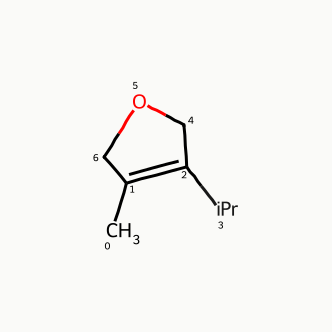 CC1=C(C(C)C)COC1